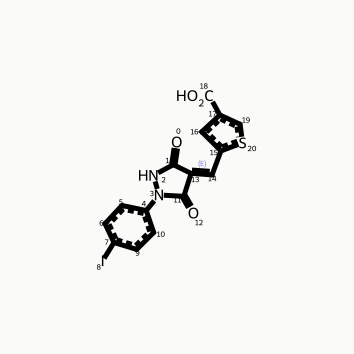 O=C1NN(c2ccc(I)cc2)C(=O)/C1=C/c1cc(C(=O)O)cs1